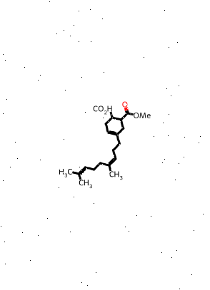 COC(=O)C1CC(CCC=C(C)CCC=C(C)C)=CCC1C(=O)O